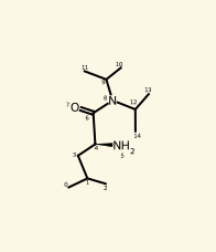 CC(C)C[C@H](N)C(=O)N(C(C)C)C(C)C